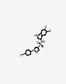 O=S(=O)(Nc1c[nH]c2cc(F)c(F)cc12)c1cnn(-c2ccc(Cl)cc2)c1